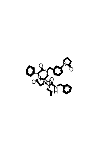 C=CCN(C(=O)NCc1ccccc1)N1CC(=O)N2[C@@H](c3ccccc3)C(=O)N(Cc3cccc(N4CCCC4=O)c3)C[C@@H]21